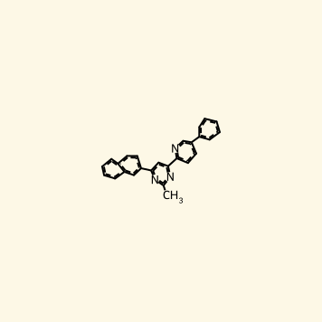 Cc1nc(-c2ccc3ccccc3c2)cc(-c2ccc(-c3ccccc3)cn2)n1